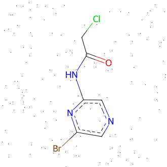 O=C(CCl)Nc1cncc(Br)n1